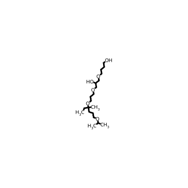 CCC(C)(CCCOC(C)C)OCCCOCC(O)COCCCCO